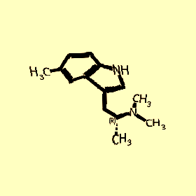 Cc1ccc2[nH]cc(C[C@@H](C)N(C)C)c2c1